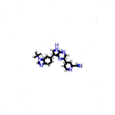 CC(C)(C)n1cnc2ccc(-c3c[nH]c4ncc(-c5ccnc(C#N)c5)nc34)cc21